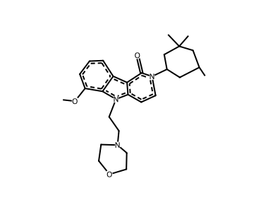 COc1cccc2c3c(=O)n(C4CC(C)CC(C)(C)C4)ccc3n(CCN3CCOCC3)c12